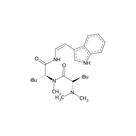 CC[C@H](C)[C@@H](C(=O)N(C)[C@H](C(=O)N/C=C\c1c[nH]c2ccccc12)[C@@H](C)CC)N(C)C